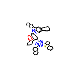 c1ccc2cc(-c3nc(-c4cccc5c4sc4ccccc45)nc(-c4cc(-n5c6cc7ccccc7cc6c6cc7ccccc7cc65)cc5oc6ccccc6c45)n3)ccc2c1